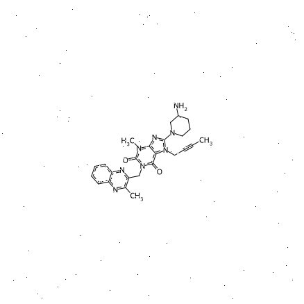 CC#CCn1c(N2CCCC(N)C2)nc2c1c(=O)n(Cc1nc3ccccc3nc1C)c(=O)n2C